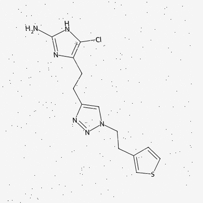 Nc1nc(CCc2cn(CCc3ccsc3)nn2)c(Cl)[nH]1